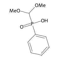 COC(OC)P(=O)(O)c1ccccc1